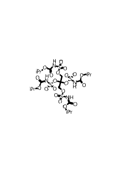 CC(C)OC(=O)NS(=O)(=O)OCC(COS(=O)(=O)NC(=O)OC(C)C)(OS(=O)(=O)NC(=O)OC(C)C)OS(=O)(=O)NC(=O)OC(C)C